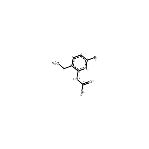 COCc1ccc(Br)nc1NC(=O)C(C)C